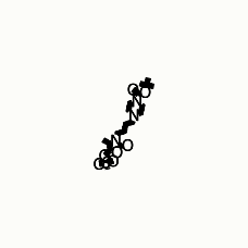 CC1C(OS(C)(=O)=O)OC(=O)N1CCCCN1CCN(C(=O)OC(C)(C)C)CC1